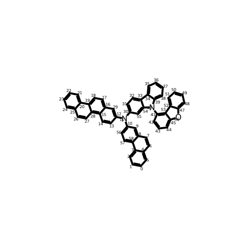 c1ccc2c(c1)ccc1cc(N(c3ccc4c(ccc5c6ccccc6ccc45)c3)c3ccc4c5ccccc5n(-c5cccc6oc7ccccc7c56)c4c3)ccc12